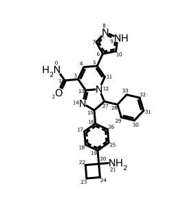 NC(=O)C1=CC(c2cn[nH]c2)=CN2C1=NC(c1ccc(C3(N)CCC3)cc1)C2C1C=CC=CC1